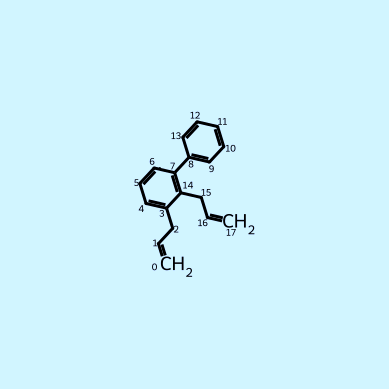 C=CCc1cc[c]c(-c2ccccc2)c1CC=C